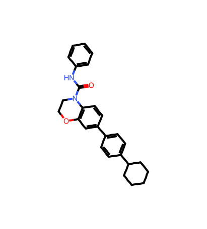 O=C(Nc1ccccc1)N1CCOc2cc(-c3ccc(C4CCCCC4)cc3)ccc21